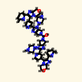 Cc1cccc(-c2nc3n(c2-c2ccnc(-c4nc5c(n4N4CCN(C)CC4)CN(C(=O)N4Cc6nc(-c7cc(-c8c(-c9cccc(C)n9)nc9n8CCOC9)ccn7)n(N7CCN(C)CC7)c6C4)C5)c2)CCOC3)n1